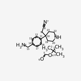 CC(C)(C)OC=O.N#CCC1(c2ccc(CN)cc2)CCNCC1